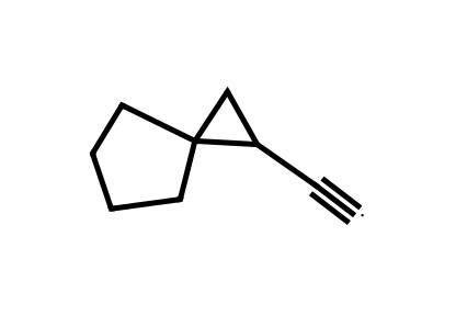 [C]#CC1CC12CCCC2